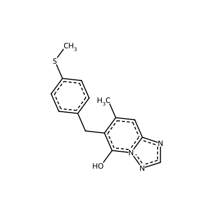 CSc1ccc(Cc2c(C)cc3ncnn3c2O)cc1